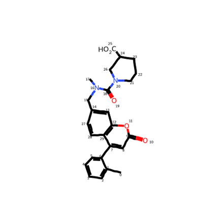 Cc1ccccc1-c1cc(=O)oc2cc(CN(C)C(=O)N3CCCC(C(=O)O)C3)ccc12